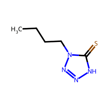 CCCCn1nn[nH]c1=S